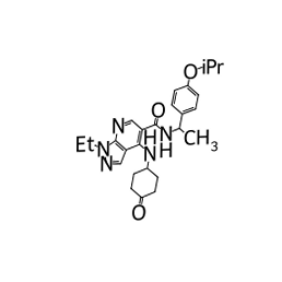 CCn1ncc2c(NC3CCC(=O)CC3)c(C(=O)NC(C)c3ccc(OC(C)C)cc3)cnc21